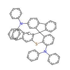 c1ccc(N(c2ccccc2)c2ccc3c(c2)C2(c4cc5ccccc5cc4Sc4c(N(c5ccccc5)c5ccccc5)cccc42)c2ccccc2-3)cc1